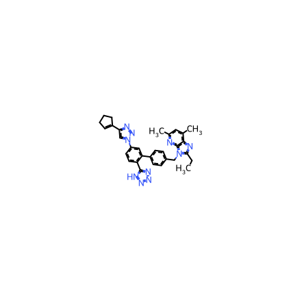 CCc1nc2c(C)cc(C)nc2n1Cc1ccc(-c2cc(-n3cc(C4=CCCC4)nn3)ccc2-c2nnn[nH]2)cc1